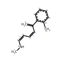 C=C(/C=C\C=C/NC)c1ccccc1C